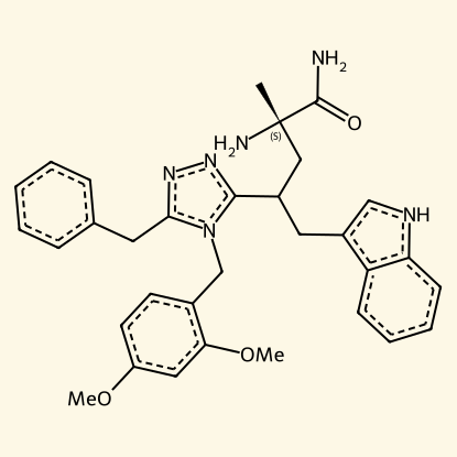 COc1ccc(Cn2c(Cc3ccccc3)nnc2C(Cc2c[nH]c3ccccc23)C[C@](C)(N)C(N)=O)c(OC)c1